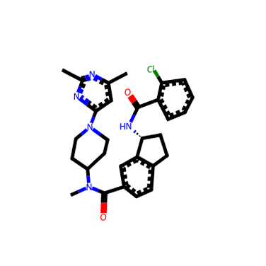 Cc1cc(N2CCC(N(C)C(=O)c3ccc4c(c3)[C@H](NC(=O)c3ccccc3Cl)CC4)CC2)nc(C)n1